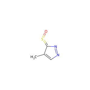 CC1=CN=NC1=S=O